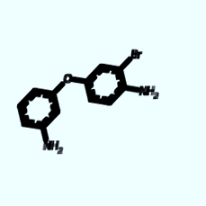 Nc1cccc(Oc2ccc(N)c(Br)c2)c1